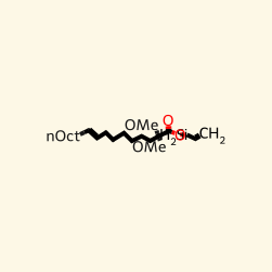 C=C[SiH2]OC(=O)C(CCCCCCC=CCCCCCCCC)(OC)OC